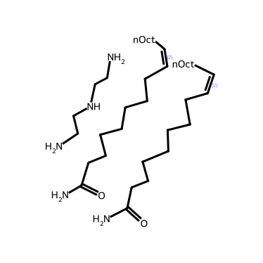 CCCCCCCC/C=C\CCCCCCCC(N)=O.CCCCCCCC/C=C\CCCCCCCC(N)=O.NCCNCCN